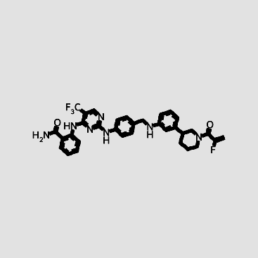 C=C(F)C(=O)N1CCCC(c2cccc(NCc3ccc(Nc4ncc(C(F)(F)F)c(Nc5ccccc5C(N)=O)n4)cc3)c2)C1